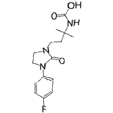 CC(C)(CCN1CCN(c2ccc(F)cc2)C1=O)NC(=O)O